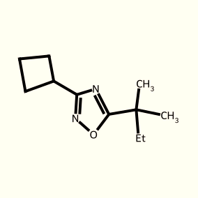 CCC(C)(C)c1nc(C2CCC2)no1